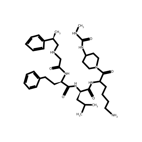 CNC(=O)NC1CCN(C(=O)C(CCCCN)NC(=O)[C@@H](CC(C)C)NC(=O)[C@@H](CCc2ccccc2)NC(=O)CNC[C@H](C)c2ccccc2)CC1